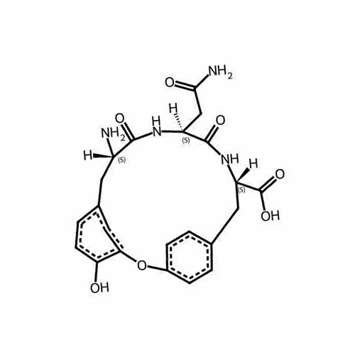 NC(=O)C[C@@H]1NC(=O)[C@@H](N)Cc2ccc(O)c(c2)Oc2ccc(cc2)C[C@@H](C(=O)O)NC1=O